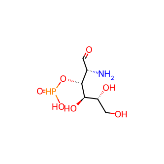 N[C@@H](C=O)[C@@H](O[PH](=O)O)[C@H](O)[C@H](O)CO